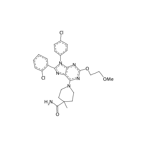 COCCOc1nc(N2CCC(C)(C(N)=O)CC2)c2nc(-c3ccccc3Cl)n(-c3ccc(Cl)cc3)c2n1